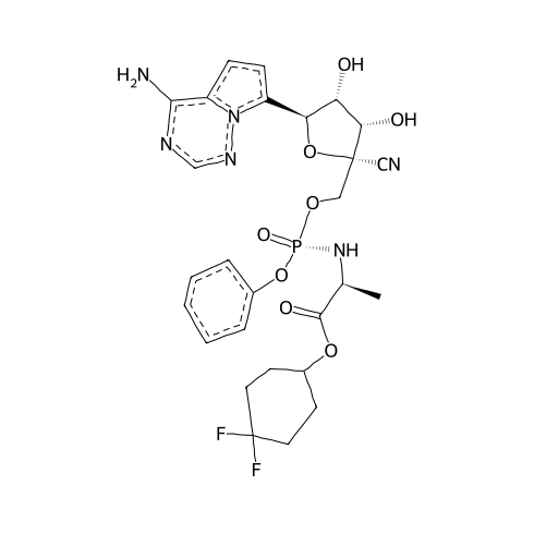 C[C@H](N[P@](=O)(OC[C@@]1(C#N)O[C@@H](c2ccc3c(N)ncnn23)[C@H](O)[C@@H]1O)Oc1ccccc1)C(=O)OC1CCC(F)(F)CC1